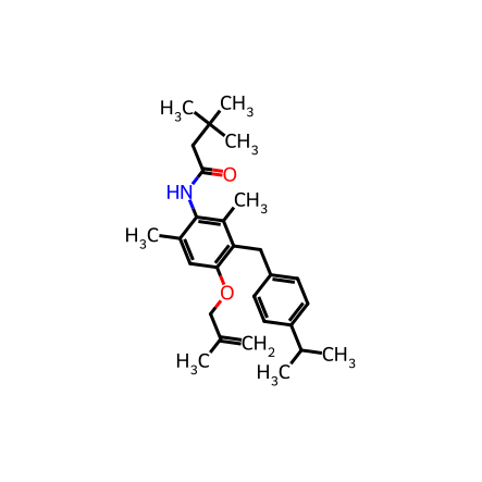 C=C(C)COc1cc(C)c(NC(=O)CC(C)(C)C)c(C)c1Cc1ccc(C(C)C)cc1